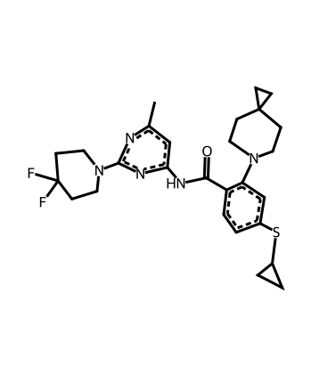 Cc1cc(NC(=O)c2ccc(SC3CC3)cc2N2CCC3(CC2)CC3)nc(N2CCC(F)(F)CC2)n1